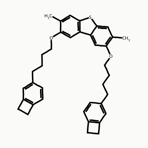 Cc1cc2sc3cc(C)c(OCCCCc4ccc5c(c4)CC5)cc3c2cc1OCCCCc1ccc2c(c1)CC2